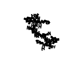 CNc1cc(NCCCOC)c(N=Nc2nn(-c3nnc(-n4cc(C#N)c(N=Nc5c(NCCCOC)nc(NC)nc5Nc5c(C)cc(C)cc5C)n4)s3)cc2C#N)c(Nc2c(C)cc(C)cc2C)c1